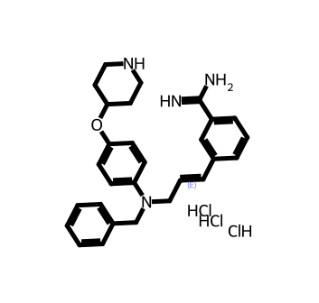 Cl.Cl.Cl.N=C(N)c1cccc(/C=C/CN(Cc2ccccc2)c2ccc(OC3CCNCC3)cc2)c1